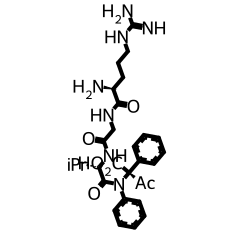 CC(=O)[C@@](C(=O)O)(c1ccccc1)N(C(=O)[C@@H](NC(=O)CNC(=O)[C@@H](N)CCCNC(=N)N)C(C)C)c1ccccc1